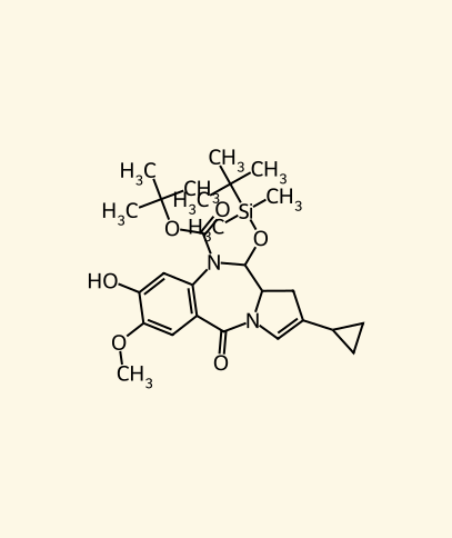 COc1cc2c(cc1O)N(C(=O)OC(C)(C)C)C(O[Si](C)(C)C(C)(C)C)C1CC(C3CC3)=CN1C2=O